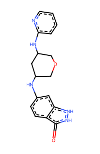 O=c1[nH][nH]c2cc(NC3COCC(Nc4ccccn4)C3)ccc12